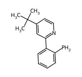 CC(C)(C)c1ccnc(-c2ccccc2P)c1